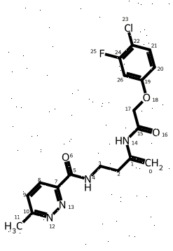 C=C(CCNC(=O)c1ccc(C)nn1)NC(=O)COc1ccc(Cl)c(F)c1